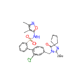 CCCCC1=NC2(CCCC2)C(=O)N1Cc1ccc(-c2ccccc2S(=O)(=O)Nc2onc(C)c2C)c(Cl)c1